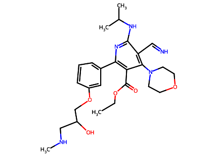 CCOC(=O)c1c(-c2cccc(OCC(O)CNC)c2)nc(NC(C)C)c(C=N)c1N1CCOCC1